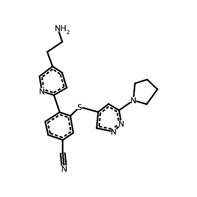 N#Cc1ccc(-c2ccc(CCN)cn2)c(Sc2cnnc(N3CCCC3)c2)c1